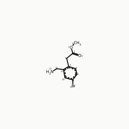 COC(=O)Cc1ccc(Br)cc1CN